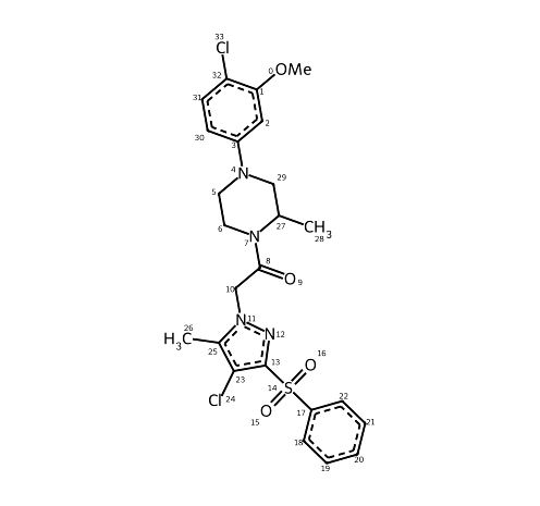 COc1cc(N2CCN(C(=O)Cn3nc(S(=O)(=O)c4ccccc4)c(Cl)c3C)C(C)C2)ccc1Cl